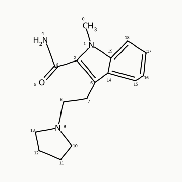 Cn1c(C(N)=O)c(CCN2CCCC2)c2cc[c]cc21